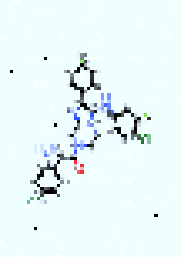 NC(C(=O)N1CCn2c(nc(-c3ccc(F)cc3)c2Nc2ccc(Cl)c(F)c2)C1)c1ccc(Cl)cc1